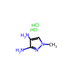 Cl.Cl.Cn1cc(N)c(N)n1